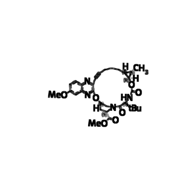 COC(=O)[C@@H]1C[C@@H]2CN1C(=O)[C@H](C(C)(C)C)NC(=O)O[C@@H]1[C@@H](C)[C@H]1CCCC#Cc1nc3ccc(OC)cc3nc1O2